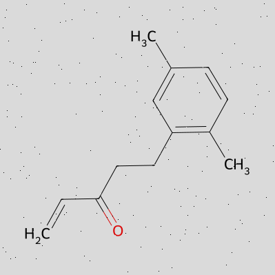 C=CC(=O)CCc1cc(C)ccc1C